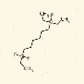 CC[Si](F)(F)CCCCCC[Si](F)(CC)CC